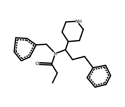 CCC(=O)N(Cc1ccccc1)C(CCc1ccccc1)C1CCNCC1